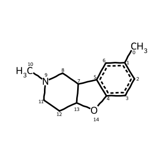 Cc1ccc2c(c1)C1CN(C)CCC1O2